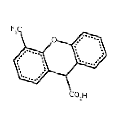 O=C(O)C1c2ccccc2Oc2c1cccc2C(F)(F)F